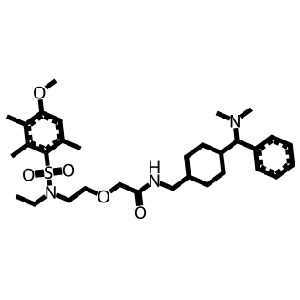 CCN(CCOCC(=O)NCC1CCC(C(c2ccccc2)N(C)C)CC1)S(=O)(=O)c1c(C)cc(OC)c(C)c1C